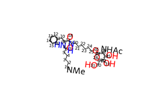 CNCCCCCC(=O)N[C@@H](Cc1ccccc1)C(=O)NCCCCCCO[C@@H]1OC(CO)[C@@H](O)C(O)C1NC(C)=O